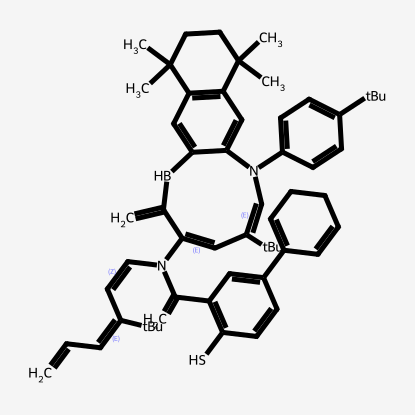 C=C/C=C(\C=C/N(C(=C)c1cc(C2=CCCC=C2)ccc1S)/C1=C/C(C(C)(C)C)=C\N(c2ccc(C(C)(C)C)cc2)c2cc3c(cc2BC1=C)C(C)(C)CCC3(C)C)C(C)(C)C